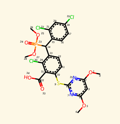 COc1cc(OC)nc(Sc2ccc(C(c3ccc(Cl)cc3Cl)P(=O)(OC)OC)c(Cl)c2C(=O)O)n1